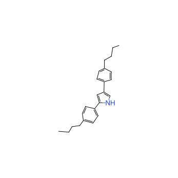 CCCCc1ccc(-c2c[nH]c(-c3ccc(CCCC)cc3)c2)cc1